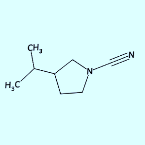 CC(C)C1CCN(C#N)C1